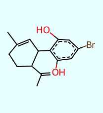 C=C(C)C1CCC(C)=CC1c1c(O)cc(Br)cc1O